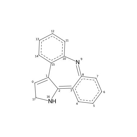 C1=C2C(=c3ccccc3=Nc3ccccc32)NC1